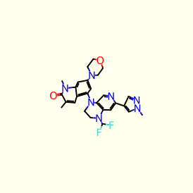 Cc1cc2c(N3CCN(C(F)F)c4cc(-c5cnn(C)c5)ncc43)cc(N3CCOCC3)cc2n(C)c1=O